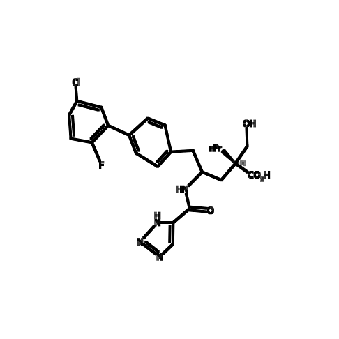 CCC[C@](CO)(CC(Cc1ccc(-c2cc(Cl)ccc2F)cc1)NC(=O)c1cnn[nH]1)C(=O)O